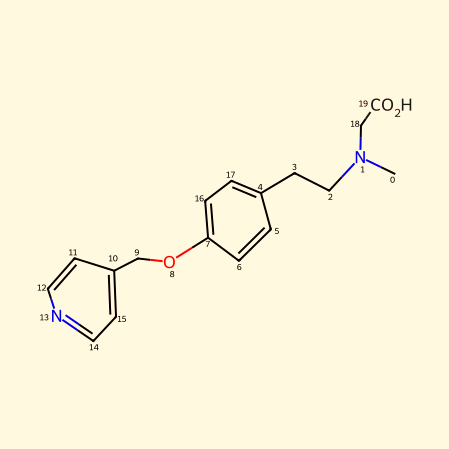 CN(CCc1ccc(OCc2ccncc2)cc1)CC(=O)O